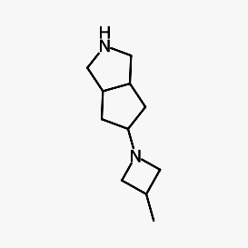 CC1CN(C2CC3CNCC3C2)C1